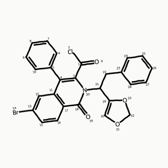 O=C(Cl)c1c(-c2ccccc2)c2cc(Br)ccc2c(=O)n1C(Cc1ccccc1)C1=COCO1